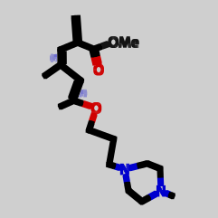 C=C(/C=C(C)\C=C(/C)OCCCN1CCN(C)CC1)C(=O)OC